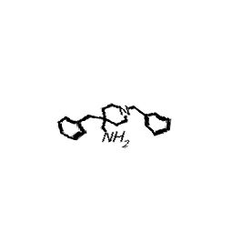 NCC1(Cc2ccccc2)CCN(Cc2ccccc2)CC1